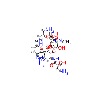 CN[C@@H]1[C@@H](O)[C@@H](O[C@@H]2[C@@H](O)[C@H](C3OC(CNCC(O)CN)=CC[C@H]3N)[C@@H](N)C[C@H]2NC(=O)[C@@H](O)CN)OC[C@]1(C)O